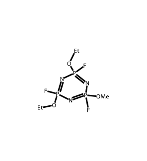 CCOP1(F)=NP(F)(OC)=NP(F)(OCC)=N1